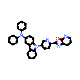 c1ccc(N(c2ccccc2)c2ccc3c(c2)c2ccccc2n3-c2ccc(-c3nc4cccnc4o3)nc2)cc1